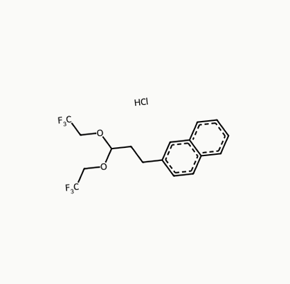 Cl.FC(F)(F)COC(CCc1ccc2ccccc2c1)OCC(F)(F)F